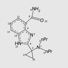 CCCN(CCC)C1(c2nc3c(C(N)=O)cccc3[nH]2)CC1